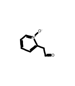 O=[C]Cc1cccc[n+]1[O-]